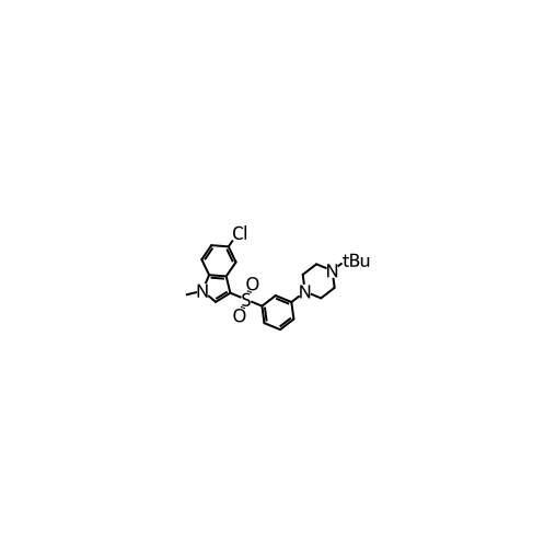 Cn1cc(S(=O)(=O)c2cccc(N3CCN(C(C)(C)C)CC3)c2)c2cc(Cl)ccc21